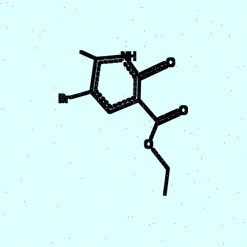 CCOC(=O)c1cc(Br)c(C)[nH]c1=O